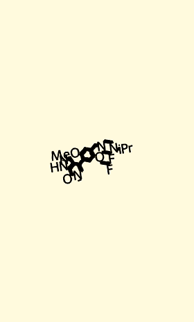 COc1cc(CN2CCN(C(C)C)CC2)c(OCC(F)F)cc1-c1cn(C)c(=O)c2[nH]ncc12